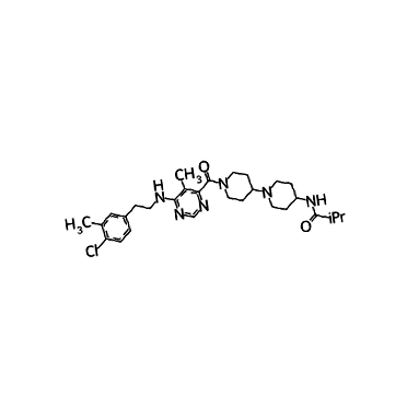 Cc1cc(CCNc2ncnc(C(=O)N3CCC(N4CCC(NC(=O)C(C)C)CC4)CC3)c2C)ccc1Cl